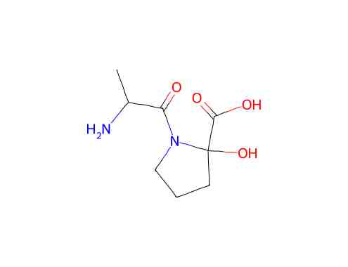 CC(N)C(=O)N1CCCC1(O)C(=O)O